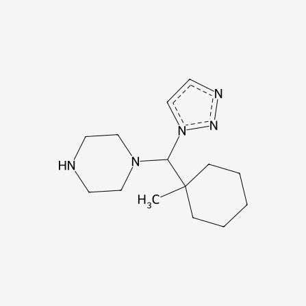 CC1(C(N2CCNCC2)n2ccnn2)CCCCC1